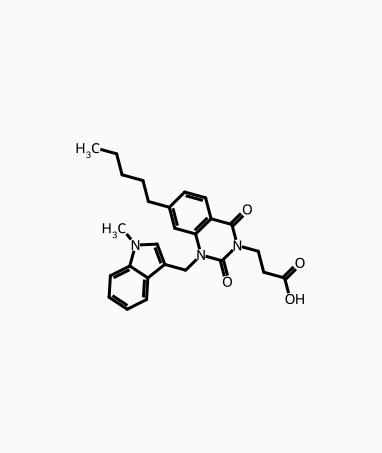 CCCCCc1ccc2c(=O)n(CCC(=O)O)c(=O)n(Cc3cn(C)c4ccccc34)c2c1